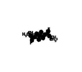 CC(C)c1ccc(N(c2ccc(F)cc2)c2ccc3c(c2)c2cccc4c5c(-c6ccccc6)c6c(c(-c7ccccc7)c5n3c24)c2cccc3c4cc(N(c5ccc(F)cc5)c5ccc(C(C)C)cc5)ccc4n6c32)cc1